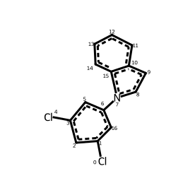 Clc1cc(Cl)cc(-n2ccc3ccccc32)c1